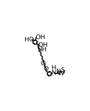 OCc1cc([C@@H](O)CNCCCCCCOCCOCc2cccc(NCc3cn4c(n3)SCC4)c2)ccc1O